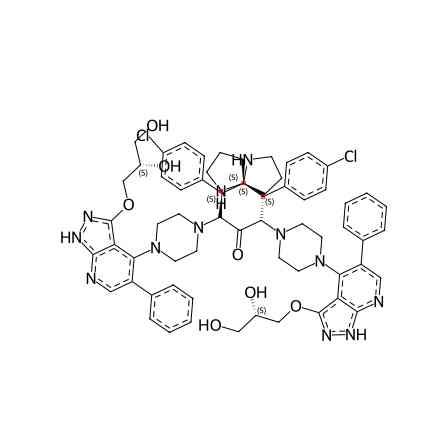 O=C(C([C@@H](c1ccc(Cl)cc1)[C@@H]1CCCN1)N1CCN(c2c(-c3ccccc3)cnc3[nH]nc(OC[C@@H](O)CO)c23)CC1)C([C@@H](c1ccc(Cl)cc1)[C@@H]1CCCN1)N1CCN(c2c(-c3ccccc3)cnc3[nH]nc(OC[C@@H](O)CO)c23)CC1